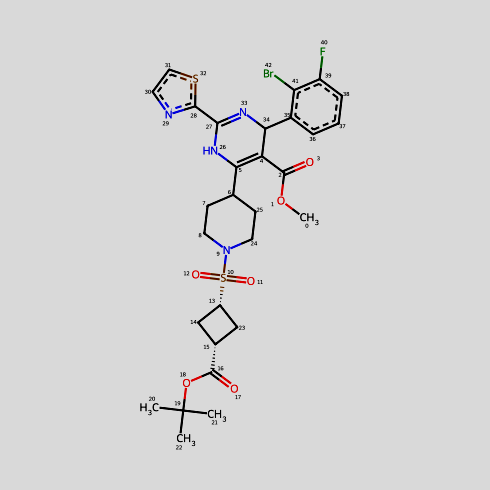 COC(=O)C1=C(C2CCN(S(=O)(=O)[C@H]3C[C@@H](C(=O)OC(C)(C)C)C3)CC2)NC(c2nccs2)=NC1c1cccc(F)c1Br